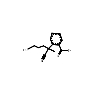 CC(C#N)(CCCO)c1ccccc1C(=S)S